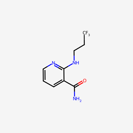 NC(=O)c1cccnc1NCCC(F)(F)F